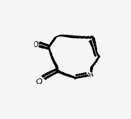 O=C1[C]=NC=CCC1=O